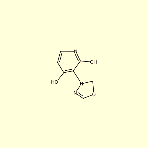 Oc1ccnc(O)c1N1COC=N1